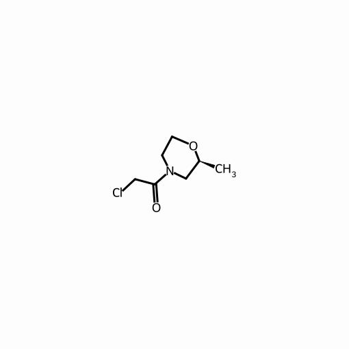 C[C@H]1CN(C(=O)CCl)CCO1